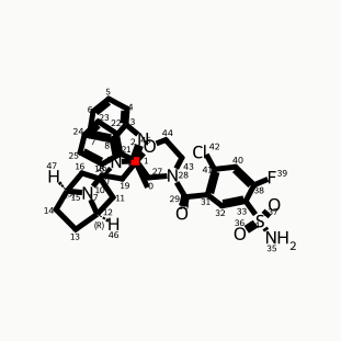 Cc1nc2ccccc2n1[C@H]1C[C@H]2CC[C@@H](C1)N2CCC1(c2ccccc2)CN(C(=O)c2cc(S(N)(=O)=O)c(F)cc2Cl)CCO1